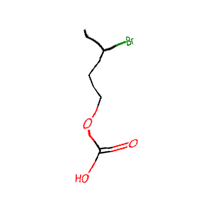 CC(Br)CCOC(=O)O